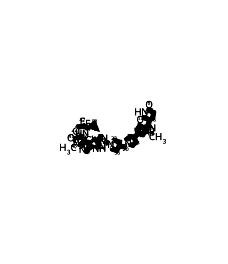 Cn1nc(C2CCC(=O)NC2=O)c2ccc(C3CCN(CC4CCN(c5ncc(Cl)c(Nc6cnc7c(c6)c6c(c(=O)n7C)OCC(F)(F)[C@H](C7CC7)N6)n5)CC4)CC3)cc21